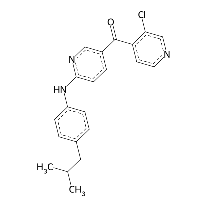 CC(C)Cc1ccc(Nc2ccc(C(=O)c3ccncc3Cl)cn2)cc1